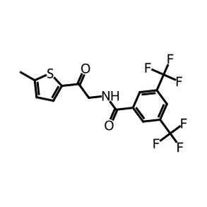 Cc1ccc(C(=O)CNC(=O)c2cc(C(F)(F)F)cc(C(F)(F)F)c2)s1